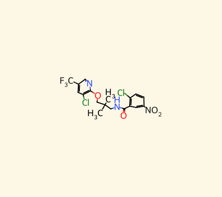 CC(C)(CNC(=O)c1cc([N+](=O)[O-])ccc1Cl)COc1ncc(C(F)(F)F)cc1Cl